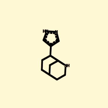 c1n[nH]cc1C1CCC2CCNC1C2